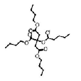 CCCCOC(=O)CC(CC(=O)OCCCC)(OC(Cl)CCCC)C(=O)OCCCC